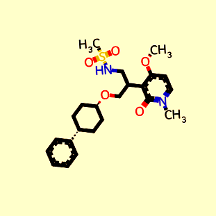 COc1ccn(C)c(=O)c1C(CNS(C)(=O)=O)CO[C@H]1CC[C@@H](c2ccccc2)CC1